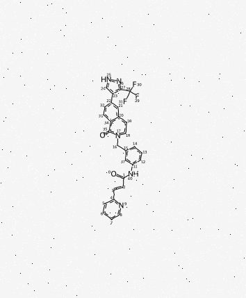 O=C(C=Cc1ccccn1)Nc1cccc(Cn2ccc3cc(-c4c[nH]nc4C(F)(F)F)ccc3c2=O)c1